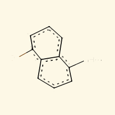 [CH2]CCCCCc1cccc2c(Br)cccc12